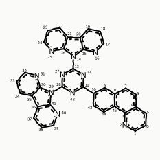 c1cnc2c(c1)ccc1cc(-c3nc(-n4c5ncccc5c5cccnc54)nc(-n4c5ncccc5c5cccnc54)n3)ccc12